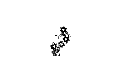 Cn1c(-c2cc(N3CCN(C(=O)[C@H]4COCCN4C(=O)OC(C)(C)C)CC3)ccc2F)nc2ccccc21